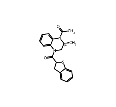 CC(=O)N1c2ccccc2N(C(=O)C2Cc3ccccc3S2)C[C@@H]1C